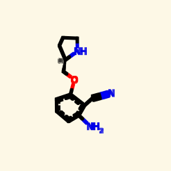 N#Cc1c(N)cccc1OC[C@H]1CCCN1